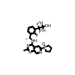 [2H]C([2H])(O)C(F)(F)c1cccc([C@@H](C)Nc2nc(C)nc3cnc(P4(=O)CCCC4)cc23)c1F